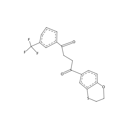 O=C(CCC(=O)c1ccc2c(c1)SCCO2)c1cccc(C(F)(F)F)c1